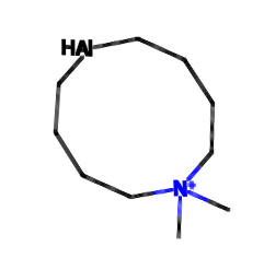 C[N+]1(C)CCC[CH2][AlH][CH2]CCC1